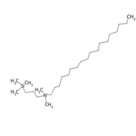 CCCCCCCCCCCCCCCCCC[N+](C)(C)CCC[Si](C)(C)C